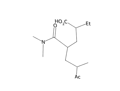 CCC(CC(CC(C)C(C)=O)C(=O)N(C)C)C(=O)O